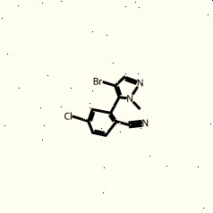 Cn1ncc(Br)c1-c1cc(Cl)ccc1C#N